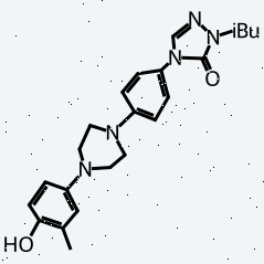 CCC(C)n1ncn(-c2ccc(N3CCN(c4ccc(O)c(C)c4)CC3)cc2)c1=O